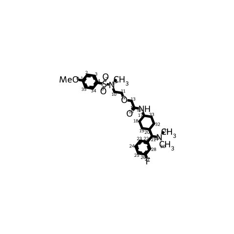 COc1ccc(S(=O)(=O)N(C)CCOCC(=O)NC2CCC(C(c3cccc(F)c3)N(C)C)CC2)cc1